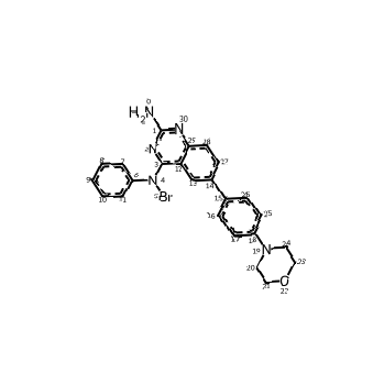 Nc1nc(N(Br)c2ccccc2)c2cc(-c3ccc(N4CCOCC4)cc3)ccc2n1